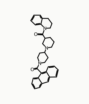 O=C(c1c2ccccc2cc2ccccc12)N1CCC(N2CCCC(C(=O)N3CCCc4ccccc43)C2)CC1